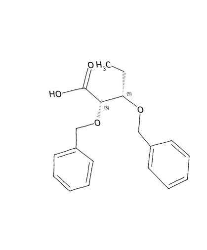 CC[C@H](OCc1ccccc1)[C@H](OCc1ccccc1)C(=O)O